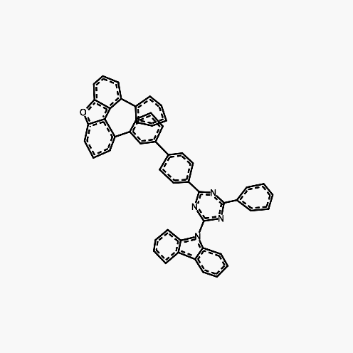 c1ccc(-c2nc(-c3ccc(-c4cccc(-c5cccc6oc7cccc(-c8ccccc8)c7c56)c4)cc3)nc(-n3c4ccccc4c4ccccc43)n2)cc1